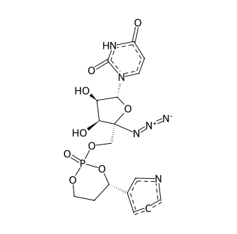 [N-]=[N+]=N[C@]1(COP2(=O)OCC[C@@H](c3cccnc3)O2)O[C@@H](n2ccc(=O)[nH]c2=O)[C@H](O)[C@@H]1O